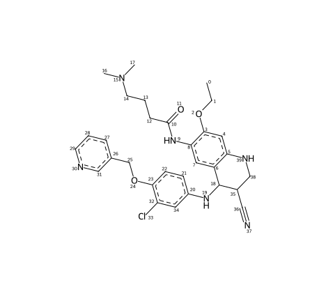 CCOc1cc2c(cc1NC(=O)CCCN(C)C)C(Nc1ccc(OCc3cccnc3)c(Cl)c1)C(C#N)CN2